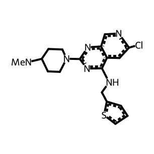 CNC1CCN(c2nc(NCc3cccs3)c3cc(Cl)ncc3n2)CC1